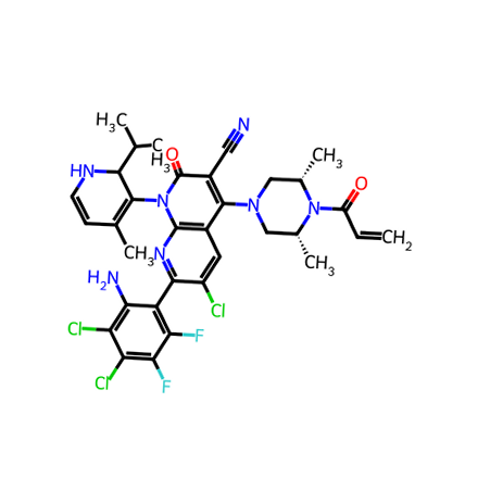 C=CC(=O)N1[C@H](C)CN(c2c(C#N)c(=O)n(C3=C(C)C=CNC3C(C)C)c3nc(-c4c(N)c(Cl)c(Cl)c(F)c4F)c(Cl)cc23)C[C@@H]1C